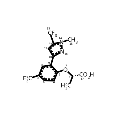 C[C@H](Oc1ccc(C(F)(F)F)cc1-c1cc(C(F)(F)F)n(C)n1)C(=O)O